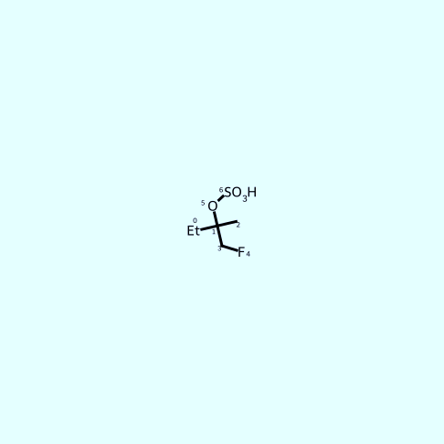 CCC(C)(CF)OS(=O)(=O)O